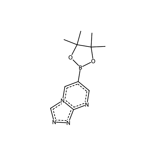 CC1(C)OB(c2cnc3nncn3c2)OC1(C)C